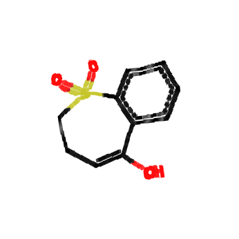 O=S1(=O)CCC=C(O)c2ccccc21